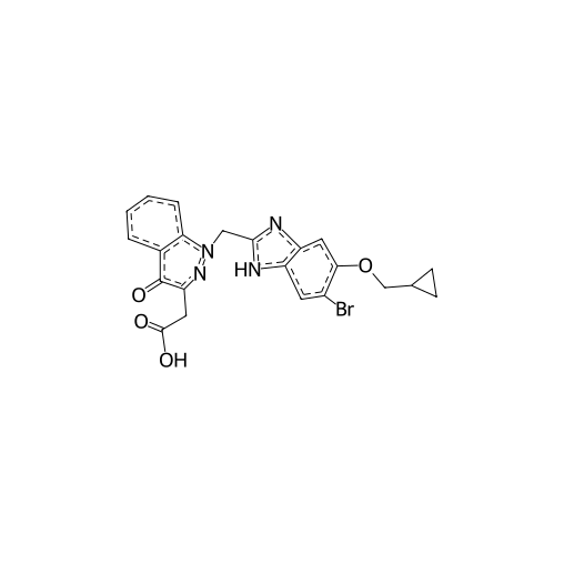 O=C(O)Cc1nn(Cc2nc3cc(OCC4CC4)c(Br)cc3[nH]2)c2ccccc2c1=O